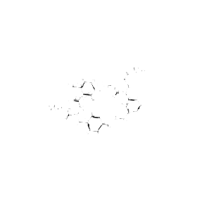 COCCN(C(=O)OC(C)(C)C)c1cccc(CCOc2ccc(C[C@H](NC(=O)c3c(Cl)cccc3Cl)C(=O)OC)cc2)n1